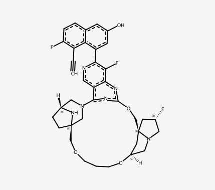 C#Cc1c(F)ccc2cc(O)cc(-c3ncc4c5nc(nc4c3F)OC[C@@]34C[C@H](F)CN3C[C@H](C4)OCCCOC[C@]34CC[C@H](CN5C3)N4)c12